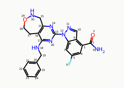 NC(=O)c1cc(F)cc2c1cnn2-c1nc2c(c(NCc3ccccc3)n1)CCONC2